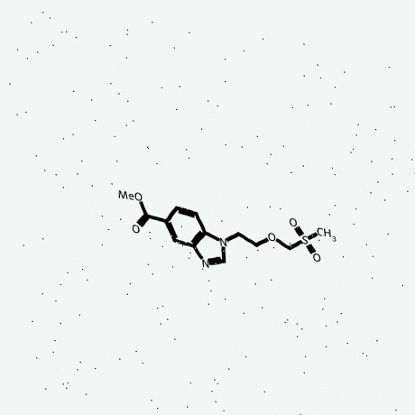 COC(=O)c1ccc2c(c1)ncn2CCOCS(C)(=O)=O